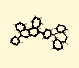 c1ccc(-c2cc3cc(-c4ccc(N5c6ccccc6CCc6ccccc65)cc4)c4ccccc4c3c3ccccc23)cc1